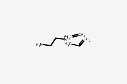 C=C.C=CC.NCCN